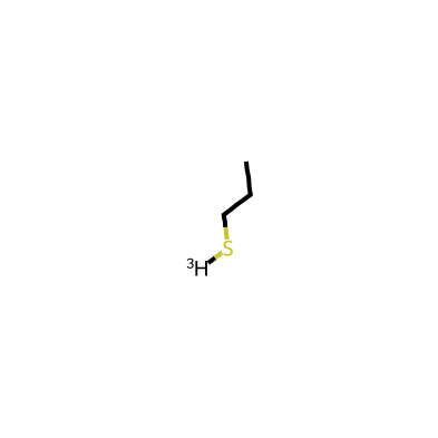 [3H]SCCC